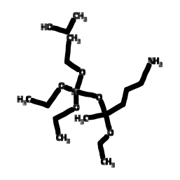 CCO.CCOC(C)(CCCN)O[Si](OCC)(OCC)OCC